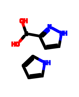 OB(O)c1cc[nH]n1.c1cc[nH]c1